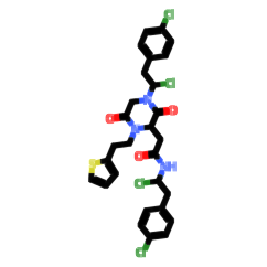 O=C(CC1C(=O)N(C(Cl)Cc2ccc(Cl)cc2)CC(=O)N1CCc1cccs1)NC(Cl)Cc1ccc(Cl)cc1